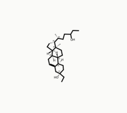 CCC(O)CC[C@@H](C)[C@H]1CC[C@H]2[C@@H]3CC=C4C[C@](O)(CC)CC[C@@H]4[C@H]3CC[C@]12C